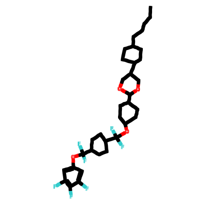 CCCCCC1CCC(C2COC(C3CCC(OC(F)(F)C4CCC(C(F)(F)Oc5cc(F)c(F)c(F)c5)CC4)CC3)OC2)CC1